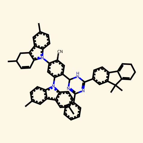 Cc1ccc2c(c1)c1c(n2-c2cc(-n3c4ccc(C)cc4c4cc(C)ccc43)c(C3N=C(c4ccccc4)N=C(c4ccc5c(c4)C(C)(C)C4=CCCC=C45)N3)cc2C#N)C=CC(C)C1